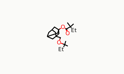 CCC(C)(C)OCC12CC3CC(C1)CC(OC(=O)C(C)(C)CC)(C3)C2